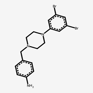 Nc1ccc(CN2CCN(c3cc(Br)cc(Br)c3)CC2)cc1